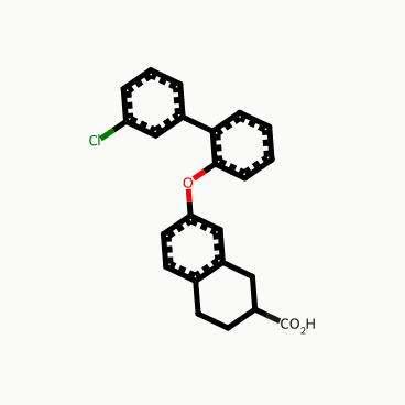 O=C(O)C1CCc2ccc(Oc3ccccc3-c3cccc(Cl)c3)cc2C1